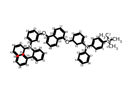 C[Si](C)(C)c1ccc(N(C2=CC=CC(Oc3cccc4c(Oc5cccc(N(c6ccccc6-c6ccccc6)C6C=CC=CC6)c5)cccc34)C2)c2ccccc2)cc1